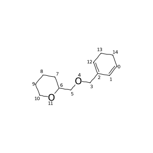 C1=CC(COCC2CCCCO2)=CCC1